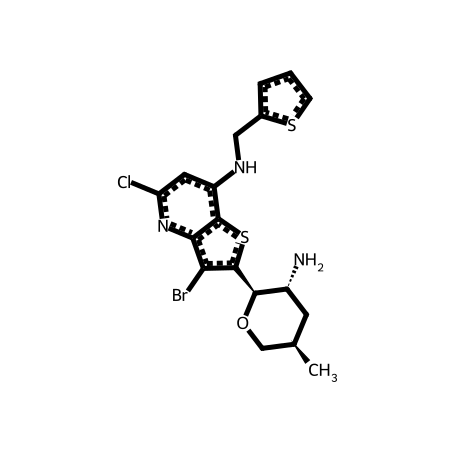 C[C@H]1CO[C@@H](c2sc3c(NCc4cccs4)cc(Cl)nc3c2Br)[C@H](N)C1